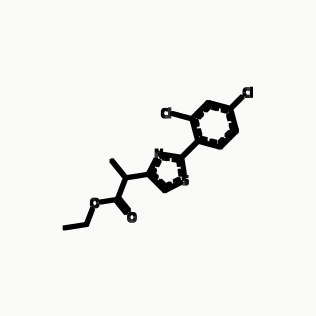 CCOC(=O)C(C)c1csc(-c2ccc(Cl)cc2Cl)n1